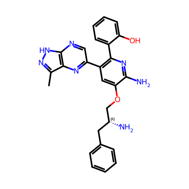 Cc1n[nH]c2ncc(-c3cc(OC[C@H](N)Cc4ccccc4)c(N)nc3-c3ccccc3O)nc12